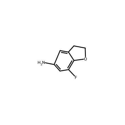 Nc1cc(F)c2c(c1)CCO2